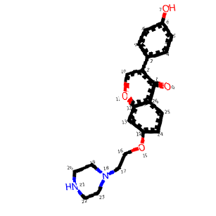 O=c1c(-c2ccc(O)cc2)coc2cc(OCCN3CCNCC3)ccc12